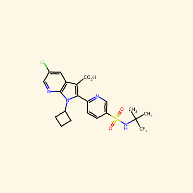 CC(C)(NS(=O)(=O)c1ccc(-c2c(C(=O)O)c3cc(Cl)cnc3n2C2CCC2)nc1)C(F)(F)F